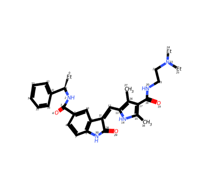 CC[C@@H](NC(=O)c1ccc2c(c1)C(=Cc1[nH]c(C)c(C(=O)NCCN(CC)CC)c1C)C(=O)N2)c1ccccc1